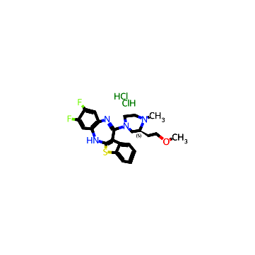 COCC[C@H]1CN(C2=Nc3cc(F)c(F)cc3Nc3sc4ccccc4c32)CCN1C.Cl.Cl